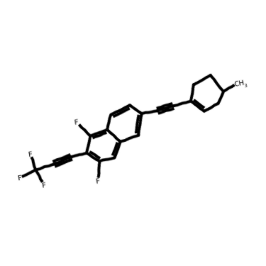 CC1CC=C(C#Cc2ccc3c(F)c(C#CC(F)(F)F)c(F)cc3c2)CC1